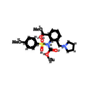 COC(=O)c1cccc(CN2CCCC2)c1N(C(=O)OC(C)(C)C)S(=O)(=O)c1ccc(OC)cc1